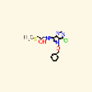 CSCC(O)CNCc1cn(COCc2ccccc2)c2c(Cl)ncnc12